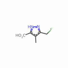 Cc1c(CF)n[nH]c1C(=O)O